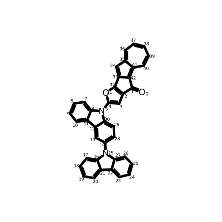 O=C1c2cc(-n3c4ccccc4c4cc(-n5c6ccccc6c6ccccc65)ccc43)oc2-c2cc3cccccc-3c21